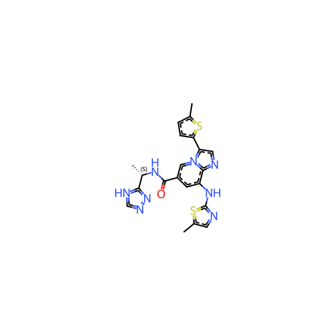 Cc1ccc(-c2cnc3c(Nc4ncc(C)s4)cc(C(=O)N[C@@H](C)c4nnc[nH]4)cn23)s1